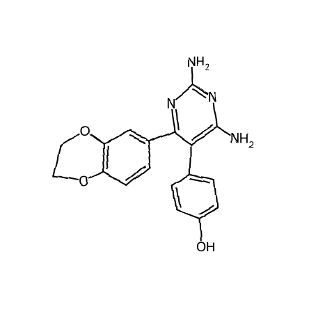 Nc1nc(N)c(-c2ccc(O)cc2)c(-c2ccc3c(c2)OCCO3)n1